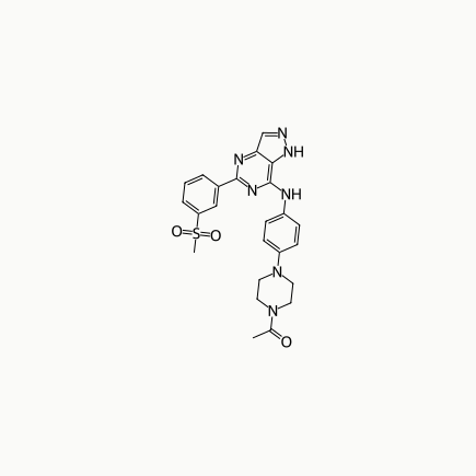 CC(=O)N1CCN(c2ccc(Nc3nc(-c4cccc(S(C)(=O)=O)c4)nc4cn[nH]c34)cc2)CC1